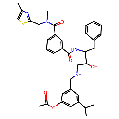 CC(=O)Oc1cc(CNCC(O)C(Cc2ccccc2)NC(=O)c2cccc(C(=O)N(C)Cc3nc(C)cs3)c2)cc(C(C)C)c1